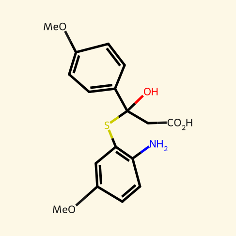 COc1ccc(C(O)(CC(=O)O)Sc2cc(OC)ccc2N)cc1